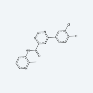 Cc1ncccc1NC(=O)c1cc(-c2ccc(Cl)c(Cl)c2)ncn1